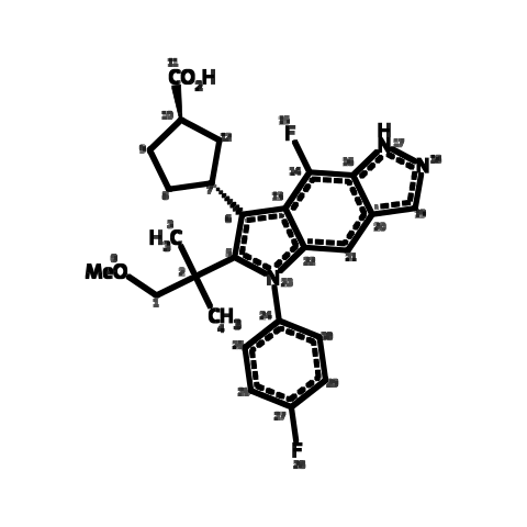 COCC(C)(C)c1c([C@@H]2CC[C@@H](C(=O)O)C2)c2c(F)c3[nH]ncc3cc2n1-c1ccc(F)cc1